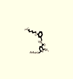 C#CCCCCOc1cccc(CNC(=O)c2ccc(COC)nc2N)c1